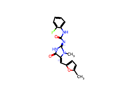 Cc1ccc(/C=C2/C(=O)N/C(=N\C(=O)Nc3ccccc3F)N2C)o1